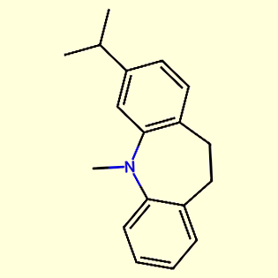 CC(C)c1ccc2c(c1)N(C)c1ccccc1CC2